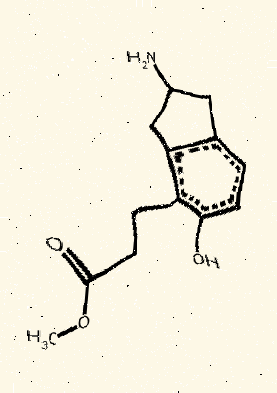 COC(=O)CCc1c(O)ccc2c1CC(N)C2